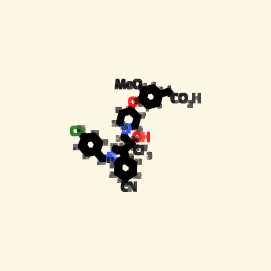 COc1cc(CC(=O)O)ccc1OC1CCN(CC(O)(c2cn(Cc3ccc(Cl)cc3)c3cc(C#N)ccc23)C(F)(F)F)CC1